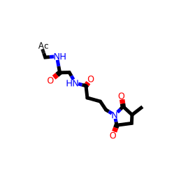 CC(=O)CNC(=O)CNC(=O)CCCN1C(=O)CC(C)C1=O